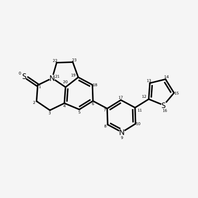 S=C1CCc2cc(-c3cncc(-c4cccs4)c3)cc3c2N1CC3